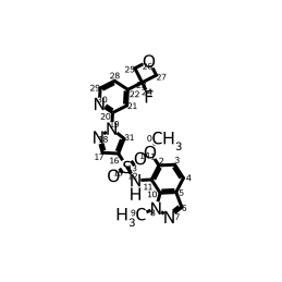 COc1ccc2cnn(C)c2c1NS(=O)(=O)c1cnn(-c2cc(C3(F)COC3)ccn2)c1